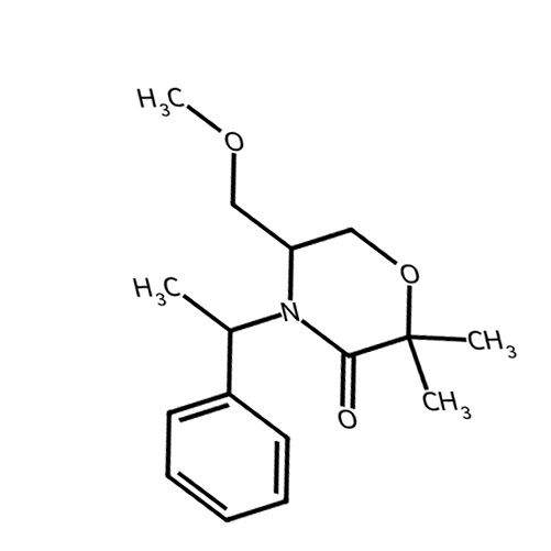 COCC1COC(C)(C)C(=O)N1C(C)c1ccccc1